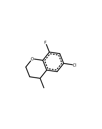 CC1CCOc2c(F)cc(Cl)cc21